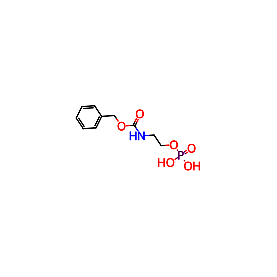 O=C(NCCOP(=O)(O)O)OCc1ccccc1